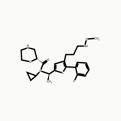 CONCCCc1cc([C@@H](C)N(C(=O)[C@H]2CNCCO2)C2CC2)sc1-c1ccccc1F